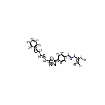 CCN(C/C=C/c1ccc(-c2nnc(CSCCOc3ccccc3)o2)cc1)C(C)C